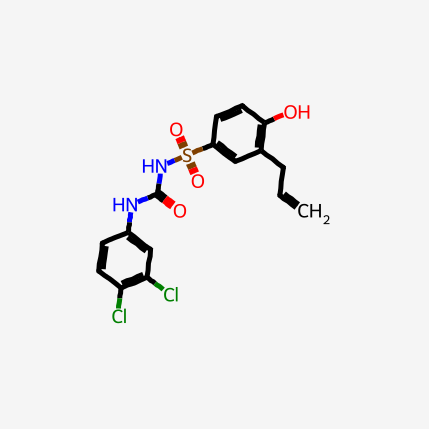 C=CCc1cc(S(=O)(=O)NC(=O)Nc2ccc(Cl)c(Cl)c2)ccc1O